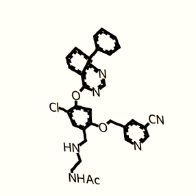 CC(=O)NCCNCc1cc(Cl)c(Oc2ncnc3c(-c4ccccc4)cccc23)cc1OCc1cncc(C#N)c1